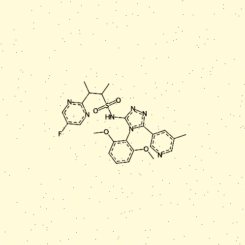 COc1cccc(OC)c1-n1c(NS(=O)(=O)C(C)C(C)c2ncc(F)cn2)nnc1-c1cncc(C)c1